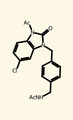 CC(=O)NCc1ccc(Cn2c(=O)n(C(C)=O)c3ccc(Cl)cc32)cc1